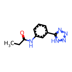 CCC(=O)Nc1cccc(-c2nnn[nH]2)c1